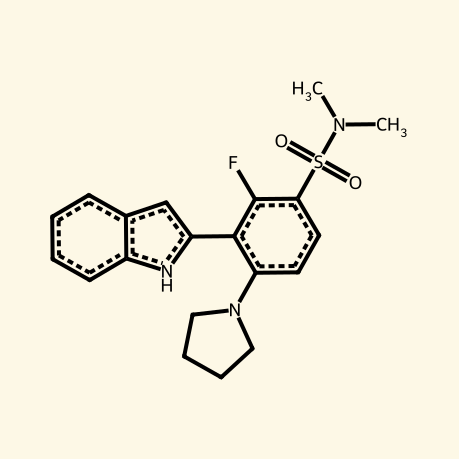 CN(C)S(=O)(=O)c1ccc(N2CCCC2)c(-c2cc3ccccc3[nH]2)c1F